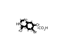 O=C(O)Oc1cc2nc[nH]c(=O)c2cc1Br